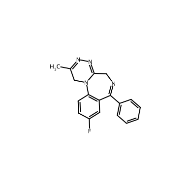 CC1=NN=C2CN=C(c3ccccc3)c3cc(F)ccc3N2C1